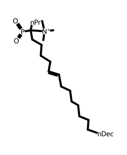 CCCCCCCCCCCCCCCCCC=CCCCCC(CCC)(P(=O)=O)[N+](C)(C)C